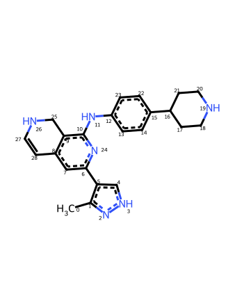 Cc1n[nH]cc1-c1cc2c(c(Nc3ccc(C4CCNCC4)cc3)n1)CNC=C2